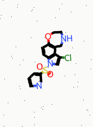 O=S(=O)(c1cccnc1)n1cc(Cl)c2c3c(ccc21)OCCNC3